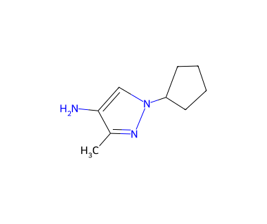 Cc1nn(C2CCCC2)cc1N